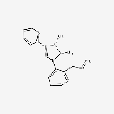 C=CCc1ccccc1N1C=C(c2ccccc2)N(C)C1C